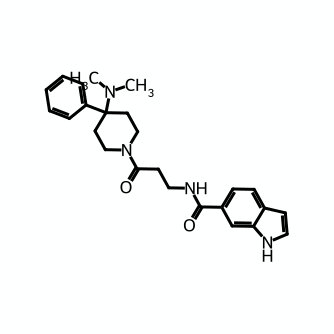 CN(C)C1(c2ccccc2)CCN(C(=O)CCNC(=O)c2ccc3cc[nH]c3c2)CC1